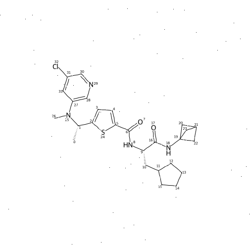 C[C@@H](c1ccc(C(=O)N[C@@H](CC2CCCC2)C(=O)NC23CC(C2)C3)s1)N(C)c1cncc(Cl)c1